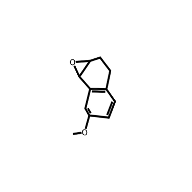 COc1ccc2c(c1)C1OC1CC2